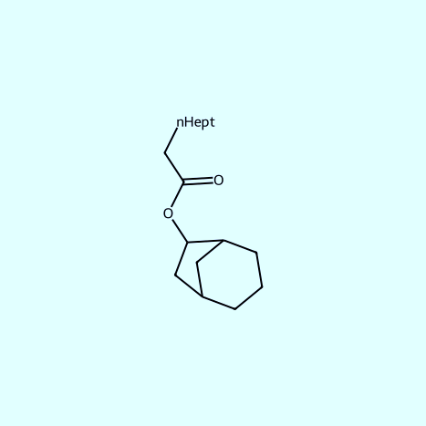 CCCCCCCCC(=O)OC1CC2CCCC1C2